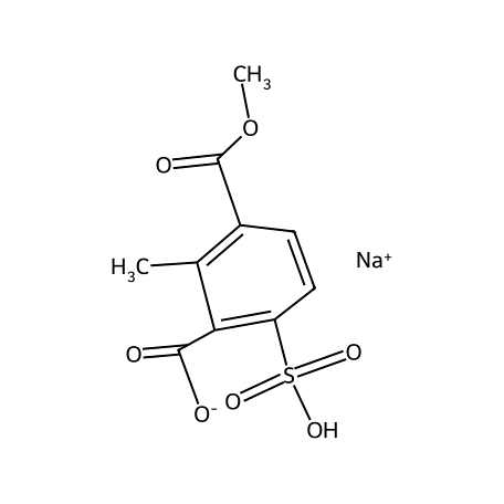 COC(=O)c1ccc(S(=O)(=O)O)c(C(=O)[O-])c1C.[Na+]